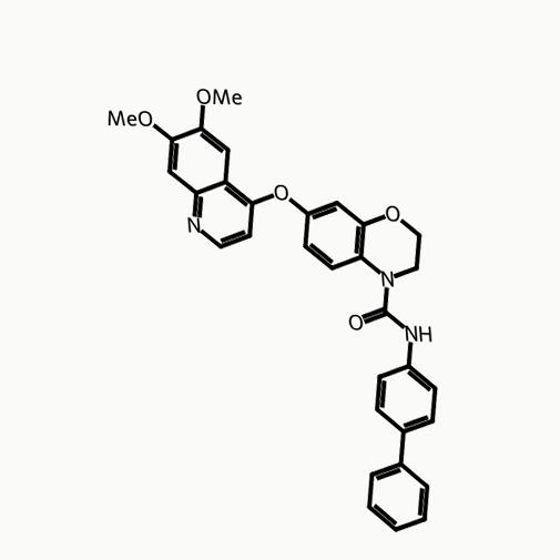 COc1cc2nccc(Oc3ccc4c(c3)OCCN4C(=O)Nc3ccc(-c4ccccc4)cc3)c2cc1OC